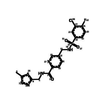 Cc1nnc(CNC(=O)c2ccc(CNS(=O)(=O)c3ccc(F)c(Cl)c3)cn2)s1